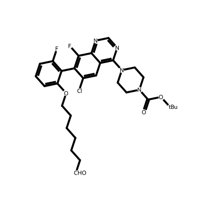 CC(C)(C)OC(=O)N1CCN(c2ncnc3c(F)c(-c4c(F)cccc4OCCCCCCC=O)c(Cl)cc23)CC1